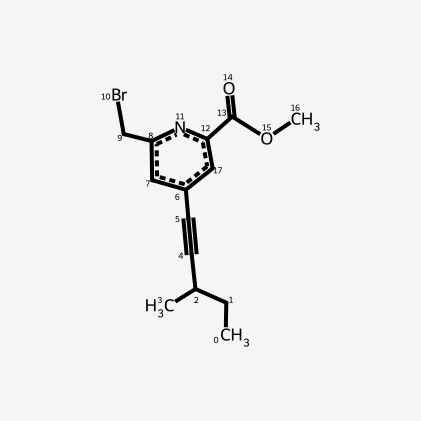 CCC(C)C#Cc1cc(CBr)nc(C(=O)OC)c1